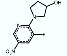 O=[N+]([O-])c1cnc(N2CCC(O)C2)c(F)c1